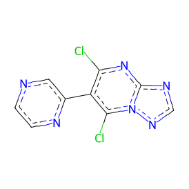 Clc1nc2ncnn2c(Cl)c1-c1cnccn1